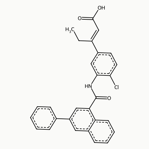 CC/C(=C\C(=O)O)c1ccc(Cl)c(NC(=O)c2cc(-c3ccccc3)cc3ccccc23)c1